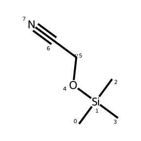 C[Si](C)(C)O[C]C#N